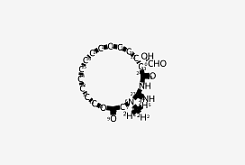 O=CO.[2H]C([2H])([2H])N1CC(=O)OCCCCCCCCCCCCCC(=O)NC1=N